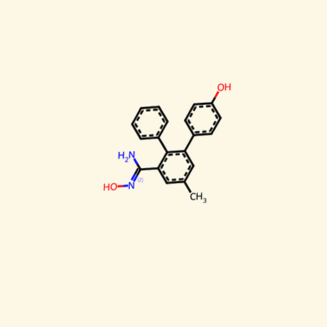 Cc1cc(/C(N)=N/O)c(-c2ccccc2)c(-c2ccc(O)cc2)c1